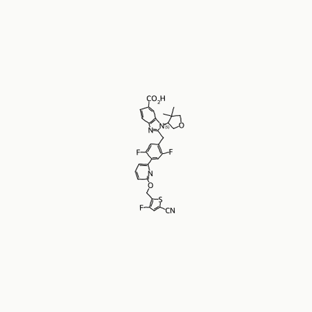 CC1(C)COC[C@H]1n1c(Cc2cc(F)c(-c3cccc(OCc4sc(C#N)cc4F)n3)cc2F)nc2ccc(C(=O)O)cc21